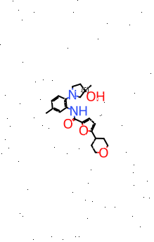 Cc1ccc(N2CC[C@](C)(O)C2)c(NC(=O)c2ccc(C3CCOCC3)o2)c1